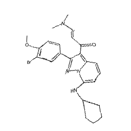 COc1ccc(-c2nn3c(NC4CCCC4)cccc3c2C(=O)C=CN(C)C)cc1Br